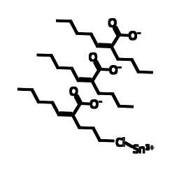 CCCCC=C(CCCC)C(=O)[O-].CCCCC=C(CCCC)C(=O)[O-].CCCCC=C(CCCC)C(=O)[O-].[Cl][Sn+3]